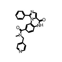 CN(Cc1ccncc1)C(=O)c1ccc2[nH]c(=O)c3cnc(-c4ccccc4)n3c2c1